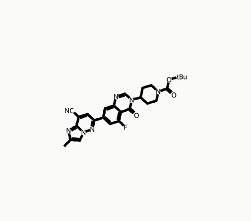 Cc1cn2nc(-c3cc(F)c4c(=O)n(C5CCN(C(=O)OC(C)(C)C)CC5)cnc4c3)cc(C#N)c2n1